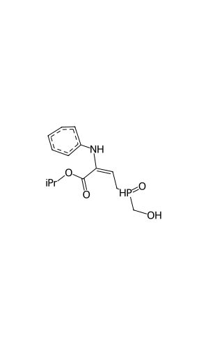 CC(C)OC(=O)C(=CC[PH](=O)CO)Nc1ccccc1